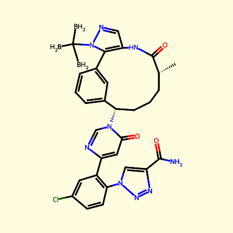 BC(B)(B)n1ncc2c1-c1cccc(c1)[C@@H](n1cnc(-c3cc(Cl)ccc3-n3cc(C(N)=O)nn3)cc1=O)CCC[C@@H](C)C(=O)N2